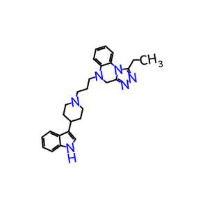 CCc1nnc2n1-c1ccccc1N(CCCN1CCC(c3c[nH]c4ccccc34)CC1)C2